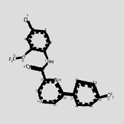 O=C(Nc1ccc(Cl)cc1OC(F)(F)F)c1cncc(-c2ccc(C(F)(F)F)cc2)n1